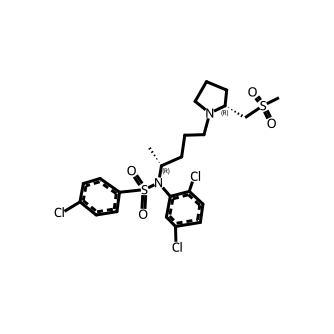 C[C@H](CCCN1CCC[C@@H]1CS(C)(=O)=O)N(c1cc(Cl)ccc1Cl)S(=O)(=O)c1ccc(Cl)cc1